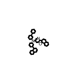 c1ccc(-c2cccc(N(c3cccc(-c4cccc5ccccc45)c3)c3cnc4c(c3)oc3c5ccccc5ccc43)c2)cc1